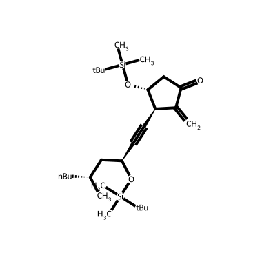 C=C1C(=O)C[C@@H](O[Si](C)(C)C(C)(C)C)[C@@H]1C#C[C@H](C[C@H](C)CCCC)O[Si](C)(C)C(C)(C)C